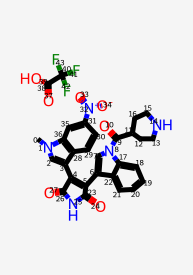 Cn1cc(C2=C(c3cn(C(=O)C4CCNCC4)c4ccccc34)C(=O)NC2=O)c2ccc([N+](=O)[O-])cc21.O=C(O)C(F)(F)F